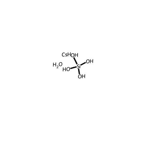 O.O[Si](O)(O)O.[CsH]